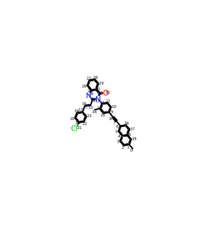 Cc1ccc2cc(C#Cc3ccc(-n4c(/C=C/c5ccc(Cl)cc5)nc5ccccc5c4=O)c(C)c3)ccc2c1